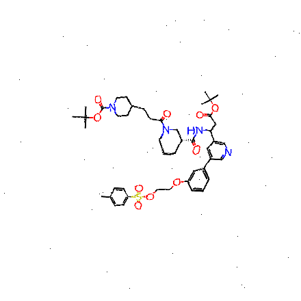 Cc1ccc(S(=O)(=O)OCCOc2cccc(-c3cncc(C(CC(=O)OC(C)(C)C)NC(=O)[C@@H]4CCCN(C(=O)CCC5CCN(C(=O)OC(C)(C)C)CC5)C4)c3)c2)cc1